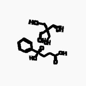 O=C(O)CCP(=O)(O)c1ccccc1.OCC(CO)(CO)CO